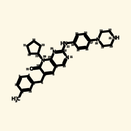 Cc1cccc(Cc2cc3cnc(Nc4ccc(N5CCNCC5)cc4)nc3n(C3CCCC3)c2=O)c1